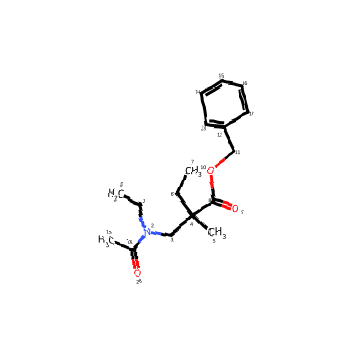 CCN(CC(C)(CC)C(=O)OCc1ccccc1)C(C)=O